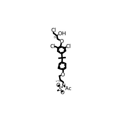 CC(=O)N(C[C@H](C)COc1ccc(C(C)(C)c2cc(Cl)c(OC[C@H](O)CCl)c(Cl)c2)cc1)S(C)(=O)=O